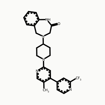 Cc1cnc(N2CCC(N3CC(=O)Nc4ccccc4C3)CC2)cc1-c1ccnc(C(F)(F)F)c1